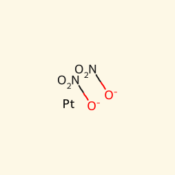 O=[N+]([O-])[O-].O=[N+]([O-])[O-].[Pt]